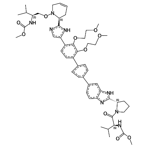 COCCOc1c(-c2ccc(-c3ccc4nc([C@@H]5CCCN5C(=O)[C@@H](NC(=O)OC)C(C)C)[nH]c4c3)cc2)ccc(-c2cnc([C@@H]3CC=CCN3OC[C@@H](NC(=O)OC)C(C)C)[nH]2)c1OCCOC